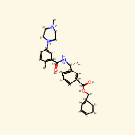 Cc1ccc(N2CCN(C)CC2)cc1C(=O)N[C@H](C)c1cccc(C(=O)OCc2ccccc2)c1